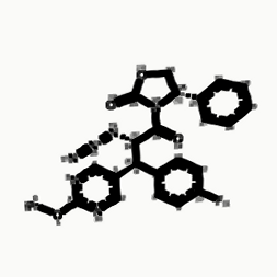 CC(C)Oc1ncc([C@H](c2ccc(F)cc2)[C@H](N=[N+]=[N-])C(=O)N2C(=O)OC[C@@H]2c2ccccc2)cn1